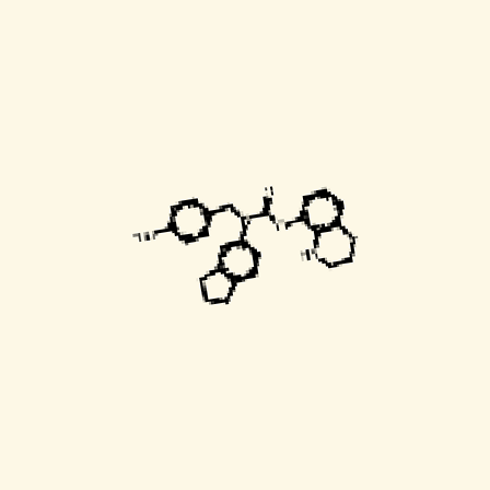 CC(C)(C)c1ccc(CN(C(=O)Oc2cccc3c2NCCC3)c2ccc3c(c2)CCC3)cc1